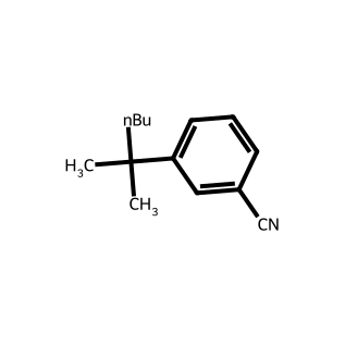 CCCCC(C)(C)c1cccc(C#N)c1